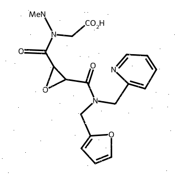 CNN(CC(=O)O)C(=O)C1OC1C(=O)N(Cc1ccccn1)Cc1ccco1